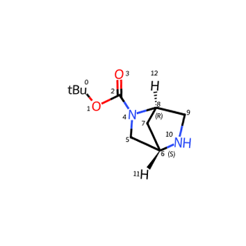 CC(C)(C)OC(=O)N1C[C@@H]2C[C@@H]1CN2